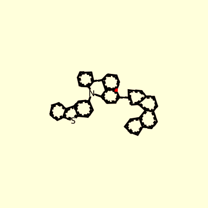 c1ccc(-c2ccccc2N(c2ccc(-c3ccc4ccc5ccc6ccccc6c5c4c3)cc2)c2ccc3sc4ccccc4c3c2)cc1